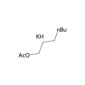 CCCCCCCOC(C)=O.[KH]